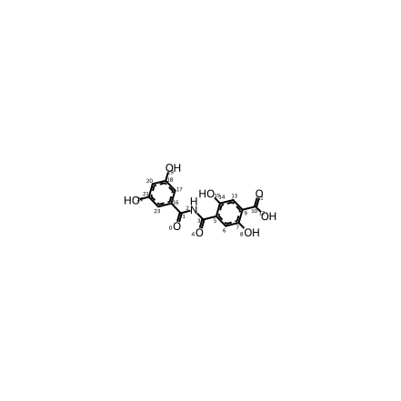 O=C(NC(=O)c1cc(O)c(C(=O)O)cc1O)c1cc(O)cc(O)c1